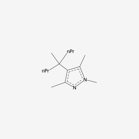 CCCC(C)(CCC)c1c(C)nn(C)c1C